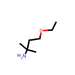 CCOCCC(C)(C)N